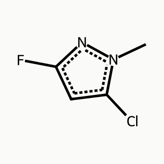 Cn1nc(F)cc1Cl